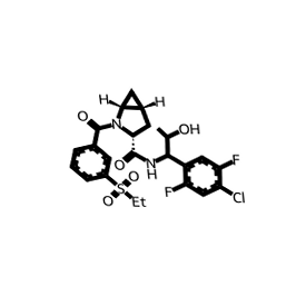 CCS(=O)(=O)c1cccc(C(=O)N2[C@@H](C(=O)NC(c3cc(F)c(Cl)cc3F)C(C)O)C[C@H]3C[C@H]32)c1